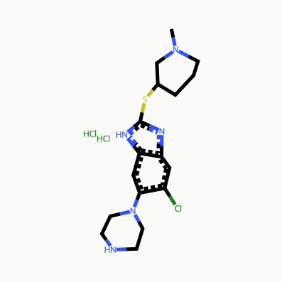 CN1CCCC(Sc2nc3cc(Cl)c(N4CCNCC4)cc3[nH]2)C1.Cl.Cl